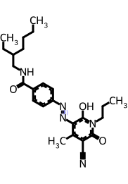 CCCCC(CC)CNC(=O)c1ccc(/N=N/c2c(C)c(C#N)c(=O)n(CCC)c2O)cc1